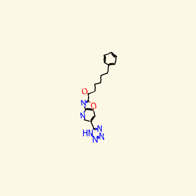 O=C(CCCCCc1ccccc1)c1nc2ncc(-c3nnn[nH]3)cc2o1